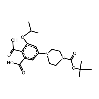 CC(C)Oc1cc(N2CCN(C(=O)OC(C)(C)C)CC2)cc(C(=O)O)c1C(=O)O